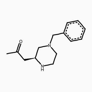 CC(=O)C[C@H]1CN(Cc2ccccc2)CCN1